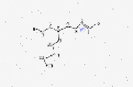 C/C=C/C[CH]C(CCC)CCCCC